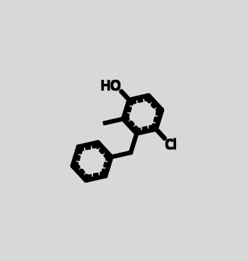 Cc1c(O)ccc(Cl)c1Cc1ccccc1